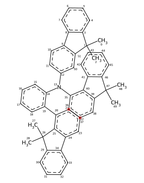 CC1(C)c2ccccc2-c2ccc(N(c3ccccc3-c3cccc4c3C(C)(C)c3ccccc3-4)c3cccc4c3-c3ccccc3C4(C)C)cc21